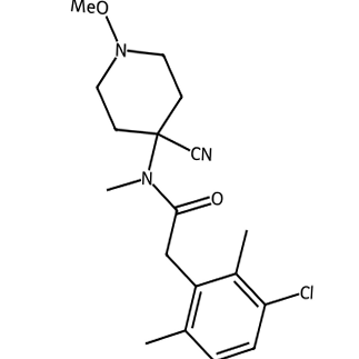 CON1CCC(C#N)(N(C)C(=O)Cc2c(C)ccc(Cl)c2C)CC1